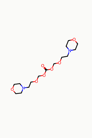 O=C(OCOCCN1CCOCC1)OCOCCN1CCOCC1